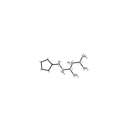 [SiH3]N([SiH3])[SiH2]N([SiH3])[SiH2]NC1CCCC1